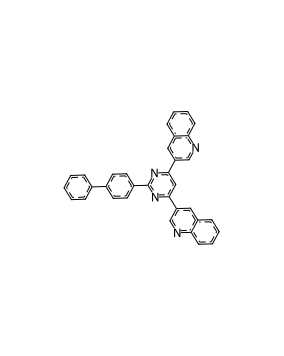 c1ccc(-c2ccc(-c3nc(-c4cnc5ccccc5c4)cc(-c4cnc5ccccc5c4)n3)cc2)cc1